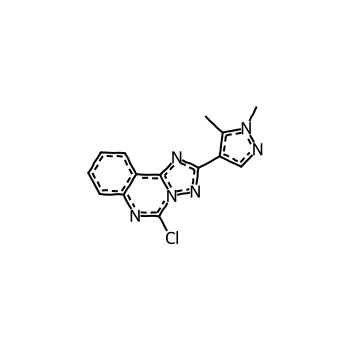 Cc1c(-c2nc3c4ccccc4nc(Cl)n3n2)cnn1C